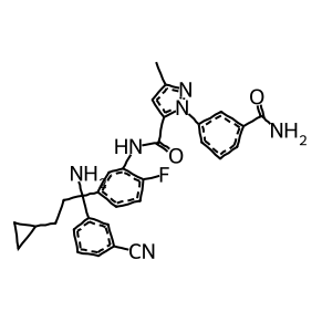 Cc1cc(C(=O)Nc2cc(C(N)(CCC3CC3)c3cccc(C#N)c3)ccc2F)n(-c2cccc(C(N)=O)c2)n1